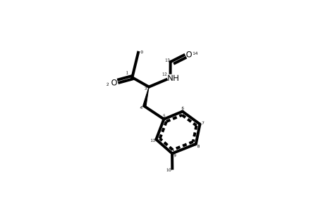 CC(=O)[C@H](Cc1cccc(C)c1)NC=O